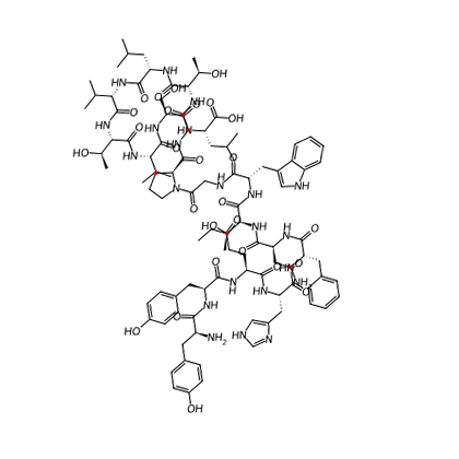 CC[C@H](C)[C@H](NC(=O)[C@H](CC(N)=O)NC(=O)[C@H](Cc1ccccc1)NC(=O)[C@H](Cc1c[nH]cn1)NC(=O)[C@H](CCC(=O)O)NC(=O)[C@H](Cc1ccc(O)cc1)NC(=O)[C@@H](N)Cc1ccc(O)cc1)C(=O)N[C@@H](Cc1c[nH]c2ccccc12)C(=O)NCC(=O)N1CCC[C@H]1C(=O)NCC(=O)N[C@H](C(=O)N[C@@H](CC(C)C)C(=O)N[C@H](C(=O)N[C@H](C(=O)N[C@H](C(=O)N[C@@H](CO)C(=O)N[C@@H](CC(C)C)C(=O)O)C(C)C)[C@@H](C)O)C(C)C)[C@@H](C)O